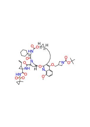 C=CC1CC1(NC(=O)[C@@H]1C[C@@H]2CN1C(=O)[C@@H](C1CCCCC1)NC(=O)O[C@H]1C[C@H]1CCCCCc1c(nc3c(OC)cccc3c1OCC1CN(C(=O)OC(C)(C)C)C1)O2)C(=O)NS(=O)(=O)C1(C)CC1